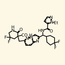 CCn1nccc1C(=O)NC(c1cn2nc(CC3(C(=O)O)CC(F)(F)CNC3=O)ccc2n1)C1CCC(F)(F)CC1